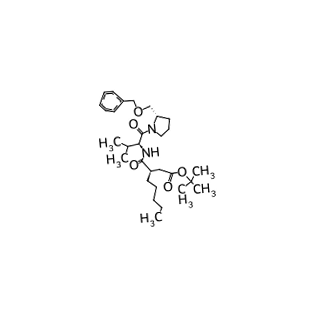 CCCCC[C@H](CC(=O)OC(C)(C)C)C(=O)N[C@H](C(=O)N1CCC[C@H]1COCc1ccccc1)C(C)C